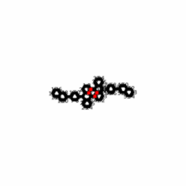 c1ccc(C(c2ccc(-c3ccc4ccccc4c3)cc2)c2ccccc2-c2ccc(-c3ccccc3N(c3ccccc3)c3ccc(-c4ccc5ccccc5c4)cc3)cc2)cc1